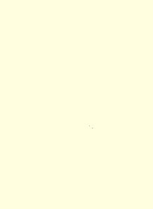 [CH2]c1c(OC)cnc2ccccc12